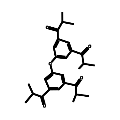 CC(C)C(=O)c1cc(Oc2cc(C(=O)C(C)C)cc(C(=O)C(C)C)c2)cc(C(=O)C(C)C)c1